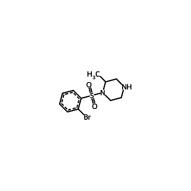 CC1CNCCN1S(=O)(=O)c1ccccc1Br